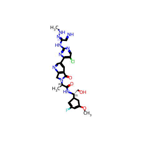 CN/N=C(\C=N)Nc1ncc(Cl)c(-c2cnc3c(c2)C(=O)N([C@H](C)C(=O)N[C@H](CO)C2C=C(F)C=C(OC)C2)C3)n1